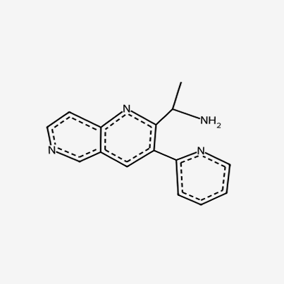 CC(N)c1nc2ccncc2cc1-c1ccccn1